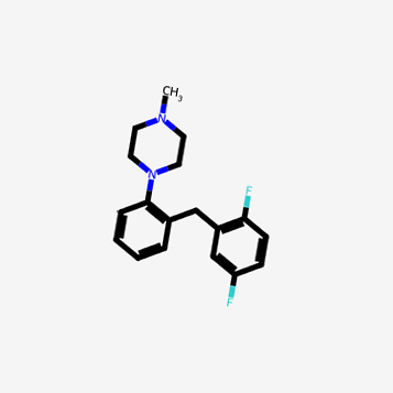 CN1CCN(c2[c]cccc2Cc2cc(F)ccc2F)CC1